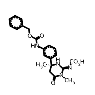 CN1C(=O)C[C@@](C)(c2cccc(NC(=O)OCc3ccccc3)c2)N/C1=N\C(=O)O